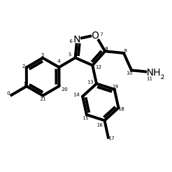 Cc1ccc(-c2noc(CCN)c2-c2ccc(C)cc2)cc1